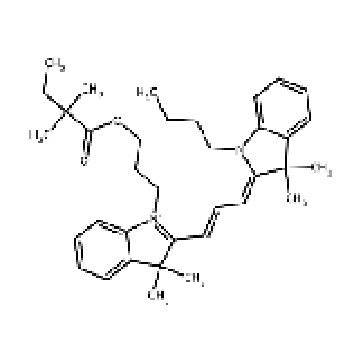 CCCCN1C(=CC=CC2=[N+](CCCOC(=O)C(C)(C)CC)c3ccccc3C2(C)C)C(C)(C)c2ccccc21